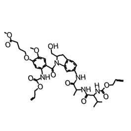 C=CCOC(=O)Nc1cc(OCCCC(=O)OC)c(OC)cc1C(=O)N1c2cc(NC(=O)C(C)NC(=O)C(NC(=O)OCC=C)C(C)C)ccc2CC1CO